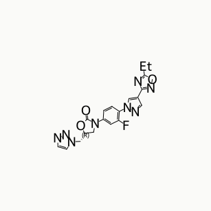 CCc1nc(-c2cnn(-c3ccc(N4C[C@H](Cn5ccnn5)OC4=O)cc3F)c2)no1